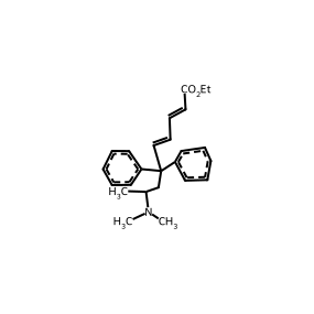 CCOC(=O)/C=C/C=C/C(CC(C)N(C)C)(c1ccccc1)c1ccccc1